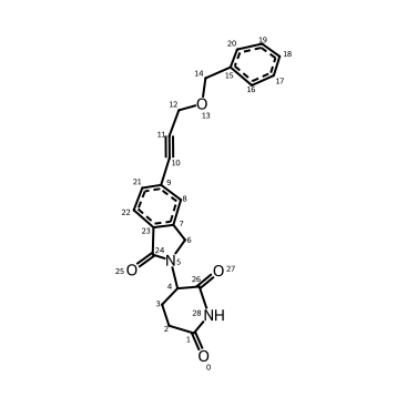 O=C1CCC(N2Cc3cc(C#CCOCc4ccccc4)ccc3C2=O)C(=O)N1